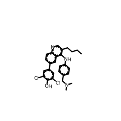 CCCCc1cnc2ccc(-c3cc(Cl)c(O)c(Cl)c3)cc2c1Nc1ccc(CN(C)C)cc1